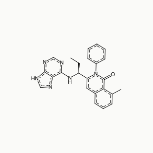 CC[C@H](Nc1ncnc2[nH]cnc12)c1cc2cccc(C)c2c(=O)n1-c1ccccc1